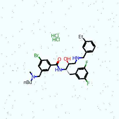 CCCCN(C)Cc1cc(Br)cc(C(=O)N[C@@H](Cc2cc(F)cc(F)c2)[C@@H](O)CNCc2cccc(CC)c2)c1.Cl.Cl